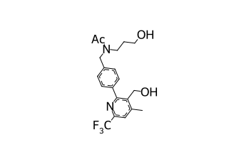 CC(=O)N(CCCO)Cc1ccc(-c2nc(C(F)(F)F)cc(C)c2CO)cc1